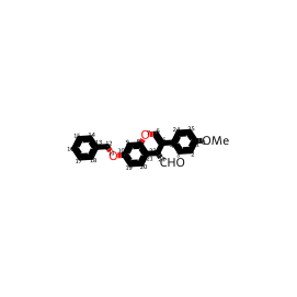 COc1ccc(C2=COc3cc(OCc4ccccc4)ccc3C2C=O)cc1